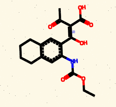 CCOC(=O)Nc1cc2c(cc1/C(O)=C(\C(C)=O)C(=O)O)CCCC2